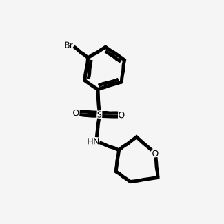 O=S(=O)(NC1CCCOC1)c1cccc(Br)c1